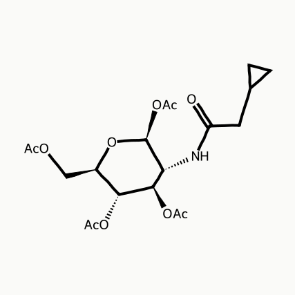 CC(=O)OC[C@H]1O[C@@H](OC(C)=O)[C@H](NC(=O)CC2CC2)[C@@H](OC(C)=O)[C@@H]1OC(C)=O